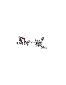 COc1ccc(C2=N[C@@H](c3ccc(Cl)cc3)[C@@H](c3ccc(Cl)cc3)N2C(=O)N2CCN(CCCCCCCCC(=O)NCCn3nc4c(c3C#N)-c3cnc(N)c(c3)N3CCC[C@@H]3c3cc(F)ccc3C(=O)N(C)C4)C(=O)C2)c(OC(C)C)c1